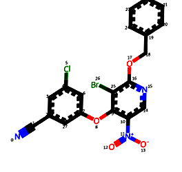 N#Cc1cc(Cl)cc(Oc2c([N+](=O)[O-])cnc(OCc3ccccc3)c2Br)c1